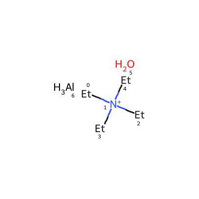 CC[N+](CC)(CC)CC.O.[AlH3]